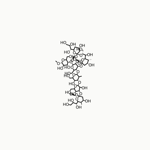 CO[C@@H]1OC(CO)[C@@H](O[C@@H]2OC(CO)[C@H](O[C@@H]3OC(CO)[C@H](O)[C@H](O[C@@H]4OC(CO)[C@H](O)[C@H](O[C@]5(OC=O)C[C@@H](O)[C@@H](C)C([C@H](O)[C@H](O)CO)O5)C4O)C3C)[C@H](O[C@]3(OC=O)C[C@@H](O)[C@@H](C)C([C@H](O)[C@@H](CO)O[C@]4(OC=O)C[C@@H](O)[C@@H](C)C([C@H](O)[C@H](O)CO)O4)O3)C2O)[C@H](O)C1O